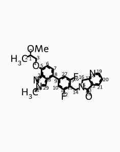 CO[C@H](C)COc1ccc(-c2cc(F)c(CN3Cc4ncccc4C3=O)c(F)c2)c2cn(C)nc12